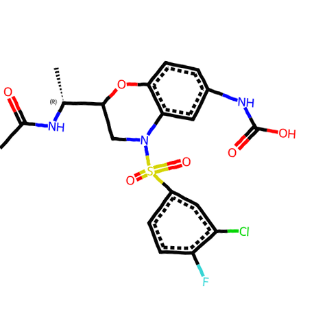 CC(=O)N[C@H](C)C1CN(S(=O)(=O)c2ccc(F)c(Cl)c2)c2cc(NC(=O)O)ccc2O1